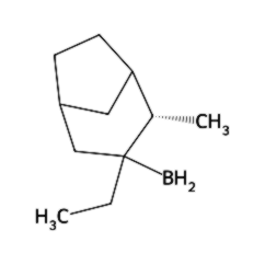 BC1(CC)CC2CCC(C2)[C@@H]1C